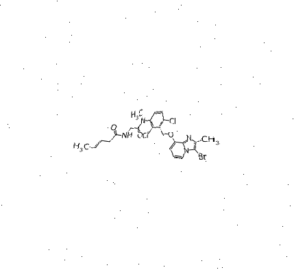 C/C=C/CC(=O)NCC(=O)N(C)c1ccc(Cl)c(COc2cccn3c(Br)c(C)nc23)c1Cl